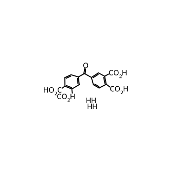 O=C(c1ccc(C(=O)O)c(C(=O)O)c1)c1ccc(C(=O)O)c(C(=O)O)c1.[HH].[HH]